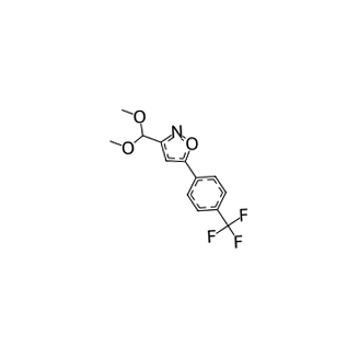 COC(OC)c1cc(-c2ccc(C(F)(F)F)cc2)on1